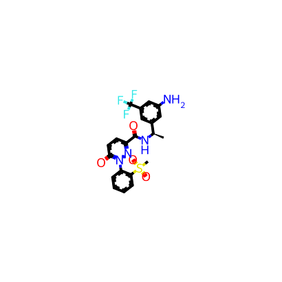 C[C@@H](NC(=O)c1ccc(=O)n(-c2ccccc2S(C)(=O)=O)n1)c1cc(N)cc(C(F)(F)F)c1